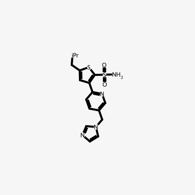 CC(C)Cc1cc(-c2ccc(Cn3ccnc3)cn2)c(S(N)(=O)=O)s1